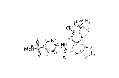 CNS(=O)(=O)c1cnc(NC(=O)C(CC2CCCC2)c2ccc(S(C)(=O)=O)c(Cl)c2)cn1